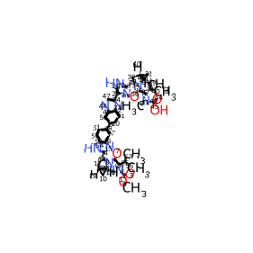 COC(=O)N[C@H](C(=O)N1[C@@H]2C[C@H]2C[C@H]1c1nc2cc(-c3ccc4nc(-c5c[nH]c([C@@H]6C[C@H]7C[C@H]7N6C(=O)[C@H](C(C)C)N(C)C(=O)O)n5)cnc4c3)ccc2[nH]1)C(C)C